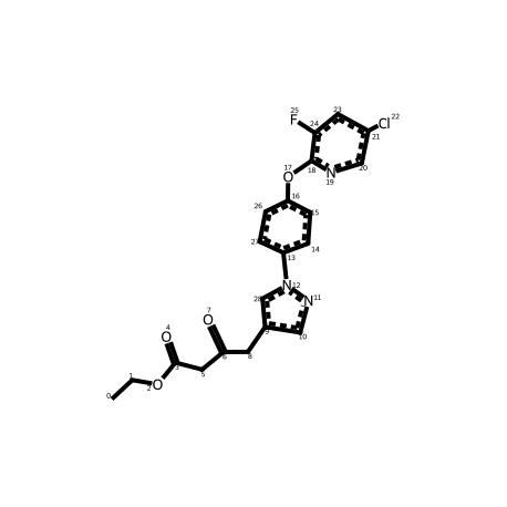 CCOC(=O)CC(=O)Cc1cnn(-c2ccc(Oc3ncc(Cl)cc3F)cc2)c1